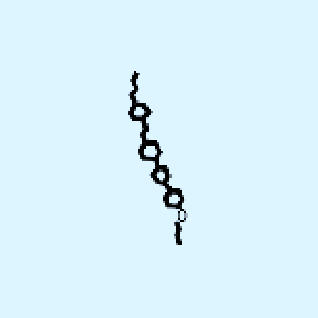 C=CCCC1CCC(CCC2CCC(C3CCC(C4CCC(OCCCC)CC4)CC3)CC2)CC1